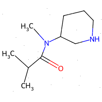 CC(C)C(=O)N(C)C1CCCNC1